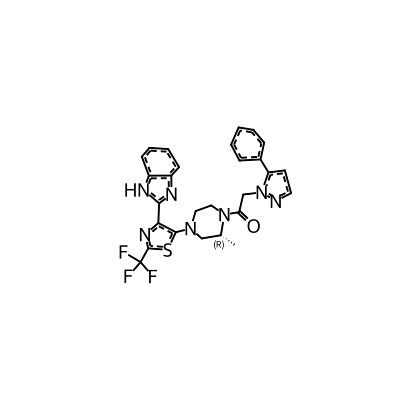 C[C@@H]1CN(c2sc(C(F)(F)F)nc2-c2nc3ccccc3[nH]2)CCN1C(=O)Cn1nccc1-c1ccccc1